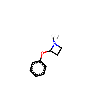 O=C(O)N1CCC1Oc1ccccc1